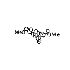 COC(=O)c1ccc(NC(=O)C(CC2CCCCC2)N2CC3=C(Oc4cccc(OC)c4C3)C2=O)nc1